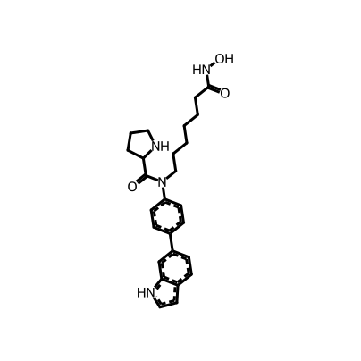 O=C(CCCCCCN(C(=O)C1CCCN1)c1ccc(-c2ccc3cc[nH]c3c2)cc1)NO